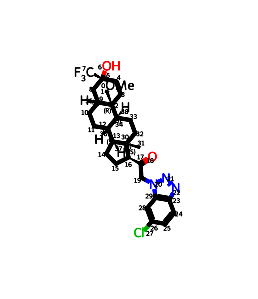 COC[C@]12CC[C@](O)(C(F)(F)F)C[C@H]1CC[C@H]1[C@@H]3CC[C@H](C(=O)Cn4nnc5ccc(Cl)cc54)[C@@]3(C)CC[C@@H]12